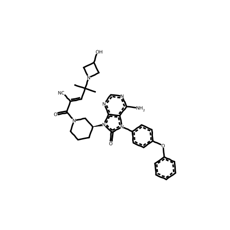 CC(C)(C=C(C#N)C(=O)N1CCC[C@H](n2c(=O)n(-c3ccc(Oc4ccccc4)cc3)c3c(N)ncnc32)C1)N1CC(O)C1